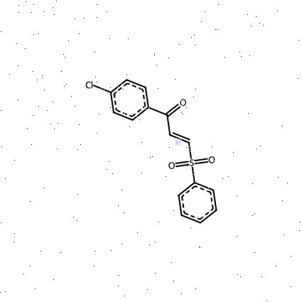 O=C(/C=C/S(=O)(=O)c1ccccc1)c1ccc(Cl)cc1